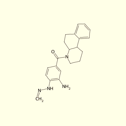 C=NNc1ccc(C(=O)N2CCCC3c4ccccc4CCC32)cc1N